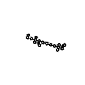 c1ccc2c(-c3ccc(-c4c5ccccc5c(-c5ccc(-c6ccc(-c7ccc(-c8ccc(-c9ccc(-c%10c%11ccccc%11c(-c%11cccc%12c%11oc%11ccccc%11%12)c%11ccccc%10%11)cc9)cc8)cc7)cc6)c6c5oc5ccccc56)c5ccccc45)cc3)cccc2c1